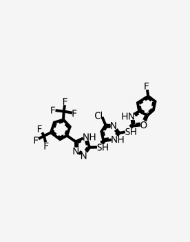 Fc1ccc2oc(=[SH]c3nc(Cl)cc(=[SH]c4nnc(-c5cc(C(F)(F)F)cc(C(F)(F)F)c5)[nH]4)[nH]3)[nH]c2c1